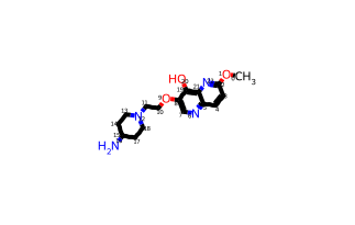 COc1ccc2ncc(OCCN3CCC(N)CC3)c(O)c2n1